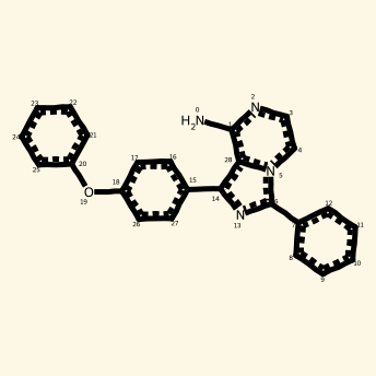 Nc1nccn2c(-c3ccccc3)nc(-c3ccc(Oc4ccccc4)cc3)c12